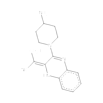 N#C/C(C(=O)O)=C1\Nc2ccccc2N=C1N1CCC(N)CC1